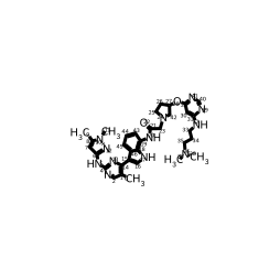 Cc1cnc(Nc2cc(C)n(C)n2)nc1-c1c[nH]c2c(NC(=O)CN3CCC(Oc4cc(NCCCN(C)C)ncn4)C3)cccc12